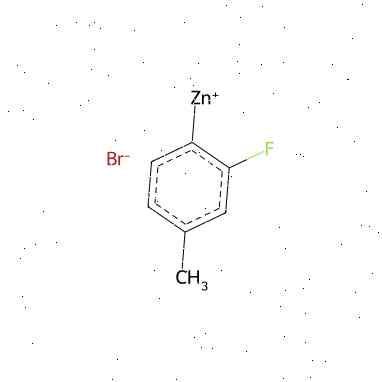 Cc1cc[c]([Zn+])c(F)c1.[Br-]